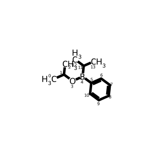 CC(C)OB(c1ccccc1)C(C)C